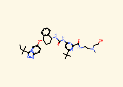 CCC(C)(C)c1nnc2ccc(O[C@@H]3CC[C@H](NC(=O)Nc4cc(C(C)(C)C)nc(C(=O)NCCN(C)CCO)n4)c4ccccc43)cn12